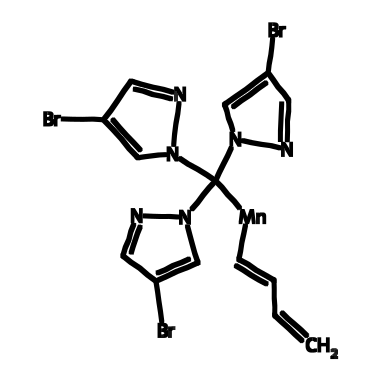 C=CC=[CH][Mn][C](n1cc(Br)cn1)(n1cc(Br)cn1)n1cc(Br)cn1